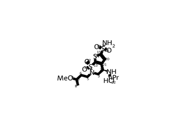 CCCN[C@H]1CN(CCC(C)OC)S(=O)(=O)c2sc(S(N)(=O)=O)cc21.Cl